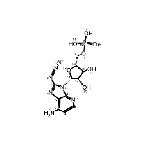 [N-]=[N+]=Nc1nc2c(N)ccnc2n1[C@@H]1O[C@H](COP(=O)(O)O)[C@@H](O)[C@H]1O